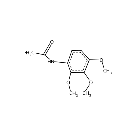 [CH2]C(=O)Nc1ccc(OC)c(OC)c1OC